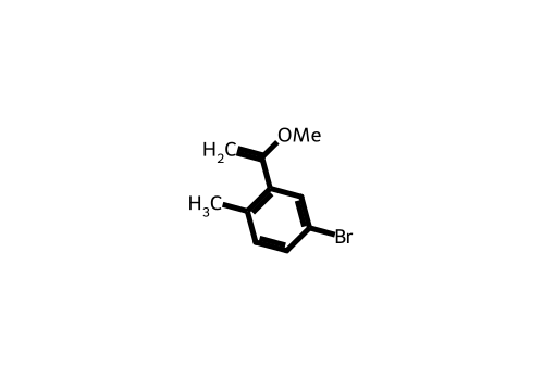 C=C(OC)c1cc(Br)ccc1C